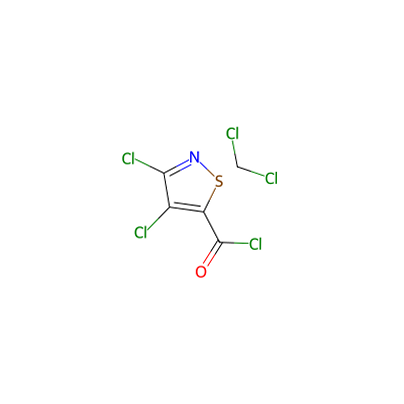 ClCCl.O=C(Cl)c1snc(Cl)c1Cl